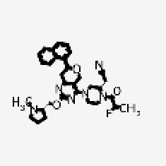 C=C(F)C(=O)N1CCN(c2nc(OC[C@@H]3CCCN3C)nc3c2COC(c2cccc4ccccc24)C3)C[C@@H]1CC#N